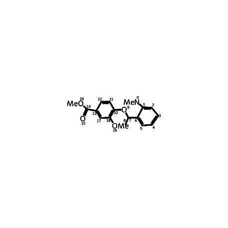 CNc1ccccc1C(C)Oc1ccc(C(=O)OC)cc1OC